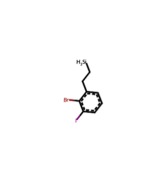 [SiH3]CCc1cccc(I)c1Br